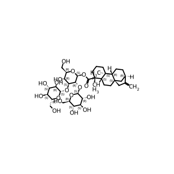 C=C1C[C@@]23CC[C@H]4[C@@](C)(CCC[C@@]4(C)C(=O)O[C@@H]4O[C@H](CO)[C@@H](O)[C@H](O[C@@H]5O[C@H](CO)[C@@H](O)[C@H](O)[C@H]5O)[C@H]4O[C@@H]4O[C@H](CO)[C@@H](O)[C@H](O)[C@H]4O)[C@@H]2CC[C@@H]1C3